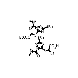 CCC(Sc1nc(C(C)(C)C)nn1C(=O)N(C)C)C(=O)O.CCOC(=O)CSc1nc(C(C)(C)C)nn1C(=O)N(C)C